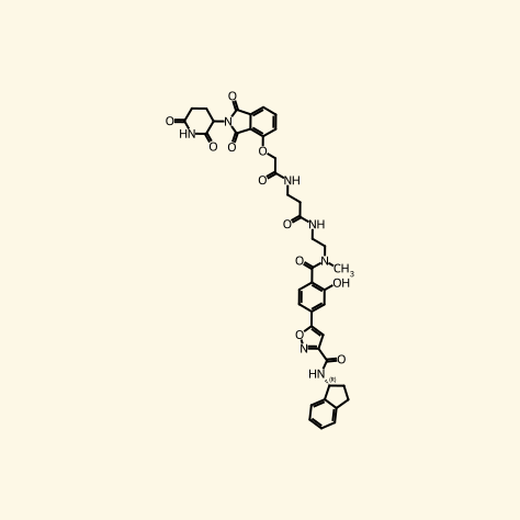 CN(CCNC(=O)CCNC(=O)COc1cccc2c1C(=O)N(C1CCC(=O)NC1=O)C2=O)C(=O)c1ccc(-c2cc(C(=O)N[C@@H]3CCc4ccccc43)no2)cc1O